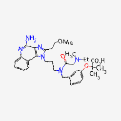 CCN(C)CC(=O)N(CCCn1c(CCOC)nc2c(N)nc3ccccc3c21)Cc1cccc(OC(C)(C)C(=O)O)c1